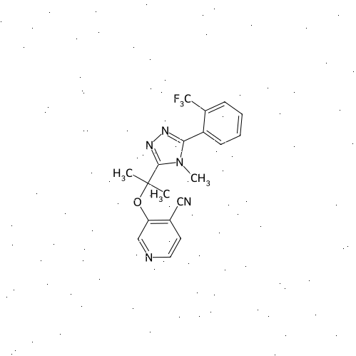 Cn1c(-c2ccccc2C(F)(F)F)nnc1C(C)(C)Oc1cnccc1C#N